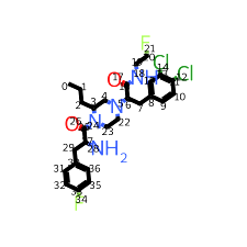 CCCC1CN(C(Cc2ccc(Cl)c(Cl)c2)C(=O)NCCF)CCN1C(=O)C(N)Cc1ccc(F)cc1